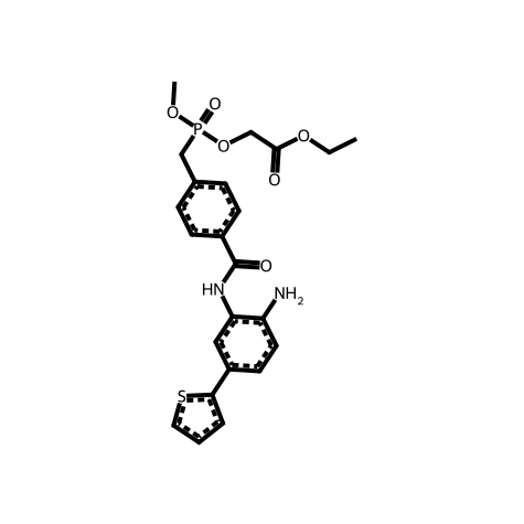 CCOC(=O)COP(=O)(Cc1ccc(C(=O)Nc2cc(-c3cccs3)ccc2N)cc1)OC